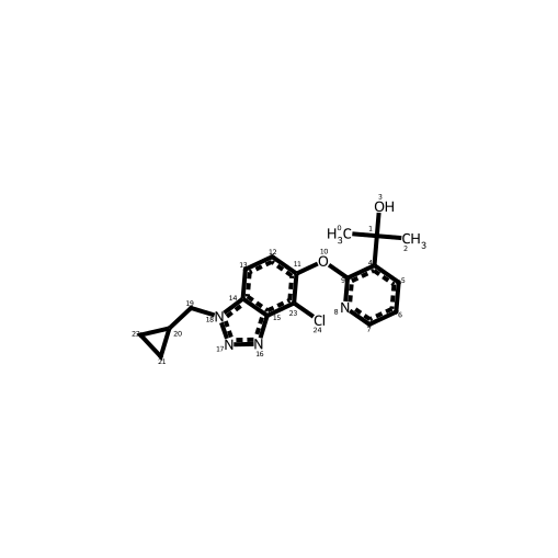 CC(C)(O)c1cccnc1Oc1ccc2c(nnn2CC2CC2)c1Cl